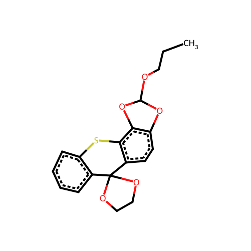 CCCOC1Oc2ccc3c(c2O1)Sc1ccccc1C31OCCO1